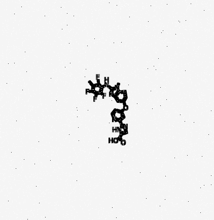 Cc1c(F)c(F)c(F)c(Nc2nc3cc(Oc4ccnc(-c5ncc(C(=O)O)[nH]5)c4)ccc3n2C)c1F